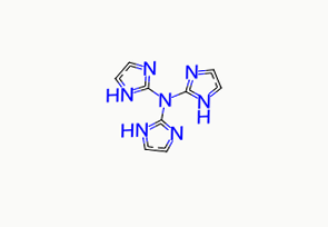 c1c[nH]c(N(c2ncc[nH]2)c2ncc[nH]2)n1